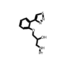 CC(C)NCC(O)COc1ccccc1-c1csnn1